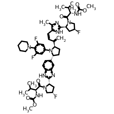 C=C(/C=C\c1[nH]c([C@@H]2C[C@H](F)CN2C(=O)[C@@H](NC(=O)OC)C(C)C)nc1C)[C@H]1CC[C@H](c2ccc3[nH]c([C@@H]4C[C@H](F)CN4C(=O)[C@@H](NC(=O)OC)C(C)C)nc3c2)N1c1cc(F)c(N2CCCCC2)c(F)c1